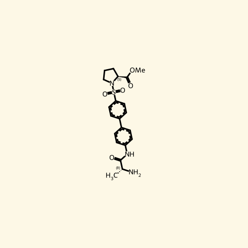 COC(=O)[C@@H]1CCCN1S(=O)(=O)c1ccc(-c2ccc(NC(=O)[C@@H](C)N)cc2)cc1